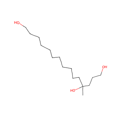 CC(O)(CCCO)CCCCCCCCCCCO